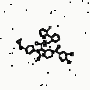 O=C(NCc1ccccc1-c1ncccc1F)c1c2n(c(=O)n1-c1ccc(OC3CC3)cc1)CCN(C(=O)c1ccc(Br)c(Cl)c1)C2